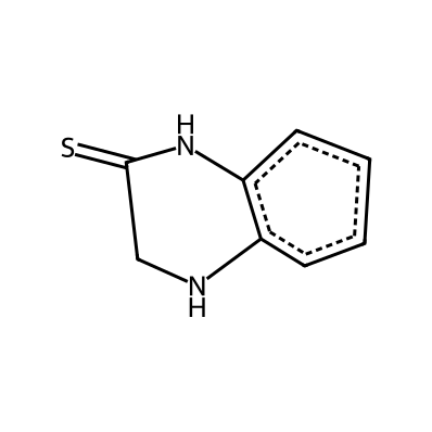 S=C1CNc2ccccc2N1